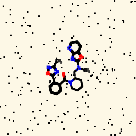 Cc1noc(-c2ccccc2C(=O)N2CCCC[C@H]2CN(C)c2nc3ncccc3o2)n1